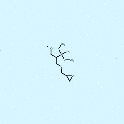 CCC(COCC1CO1)[Si](C)(OC)OC